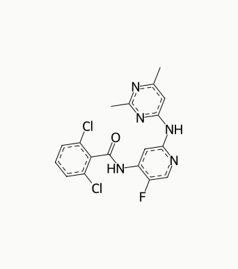 Cc1cc(Nc2cc(NC(=O)c3c(Cl)cccc3Cl)c(F)cn2)nc(C)n1